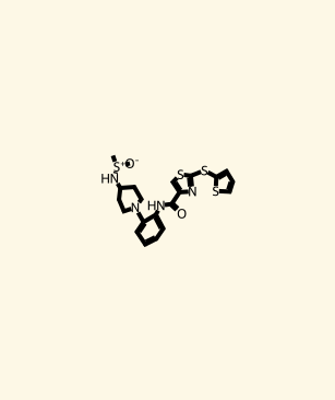 C[S+]([O-])NC1CCN(c2ccccc2NC(=O)c2csc(Sc3cccs3)n2)CC1